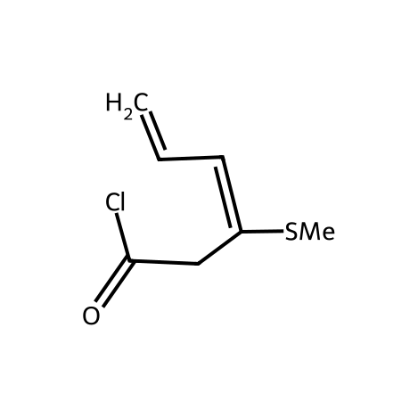 C=CC=C(CC(=O)Cl)SC